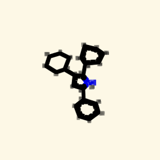 c1ccc(-c2cc(C3CCCCC3)c(-c3ccccc3)[nH]2)cc1